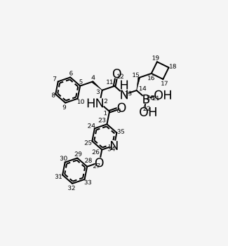 O=C(N[C@@H](Cc1ccccc1)C(=O)N[C@@H](CC1CCC1)B(O)O)c1ccc(Oc2ccccc2)nc1